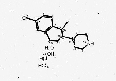 C[C@@H]1c2ccc(Cl)cc2CC[C@@H]1N1CCNCC1.Cl.Cl.O.O